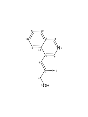 OCC(F)=Cc1cncc2ccccc12